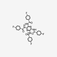 O=C(Nc1nc(NC(=O)c2ccc(F)cc2)c(NC(=O)c2ccc(F)cc2)nc1NC(=O)c1ccc(F)cc1)c1ccc(F)cc1